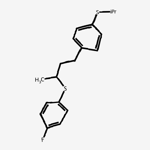 CC(C)Sc1ccc(CCC(C)Sc2ccc(F)cc2)cc1